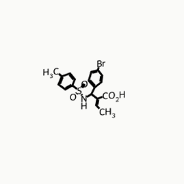 CC=C(C(=O)O)C(NS(=O)(=O)c1ccc(C)cc1)c1ccc(Br)cc1